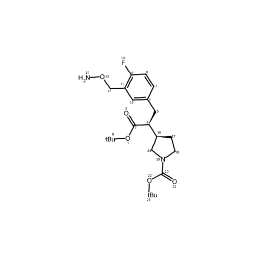 CC(C)(C)OC(=O)[C@@H](Cc1ccc(F)c(CON)c1)[C@H]1CCN(C(=O)OC(C)(C)C)C1